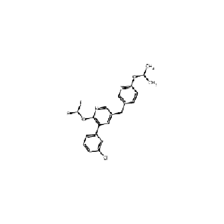 CC(C)Oc1ccc(Cc2cnc(OC(F)F)c(-c3cccc(Cl)c3)c2)cn1